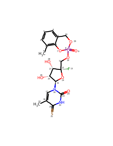 Cc1cccc2c1OP(=O)(OC[C@@]1(F)O[C@@H](n3cc(C)c(=S)[nH]c3=O)[C@H](O)[C@@H]1O)OC2